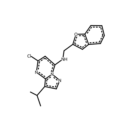 CC(C)c1cnn2c(NCc3cc4ccccc4o3)cc(Cl)nc12